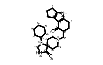 O=C1c2c([nH]c3c2CCC3)CCC1CN1CCC2(CC1)C(=O)NCN2C1CCCCC1